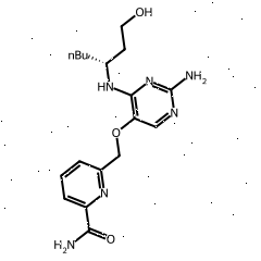 CCCC[C@H](CCO)Nc1nc(N)ncc1OCc1cccc(C(N)=O)n1